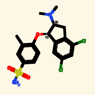 Cc1cc(S(N)(=O)=O)ccc1O[C@H]1c2cc(Cl)cc(Cl)c2C[C@@H]1N(C)C